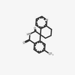 O=C1NC(=O)C2(CCCc3ncccc32)c2cc(C(F)(F)F)ccc21